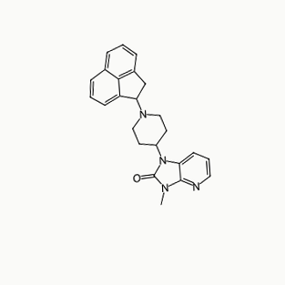 Cn1c(=O)n(C2CCN(C3Cc4cccc5cccc3c45)CC2)c2cccnc21